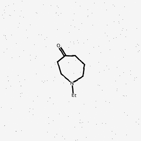 CCN1CCCC(=O)CC1